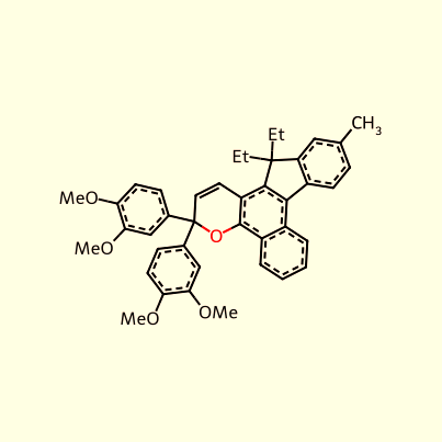 CCC1(CC)c2cc(C)ccc2-c2c1c1c(c3ccccc23)OC(c2ccc(OC)c(OC)c2)(c2ccc(OC)c(OC)c2)C=C1